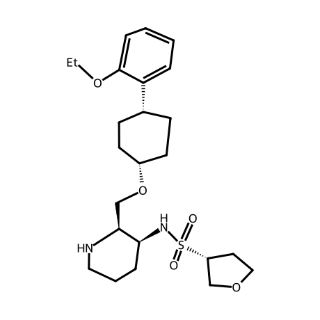 CCOc1ccccc1[C@H]1CC[C@@H](OC[C@@H]2NCCC[C@@H]2NS(=O)(=O)[C@@H]2CCOC2)CC1